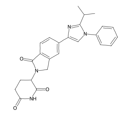 CC(C)c1nc(-c2ccc3c(c2)CN(C2CCC(=O)NC2=O)C3=O)cn1-c1ccccc1